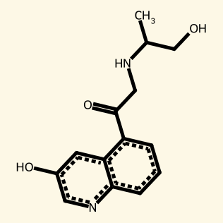 CC(CO)NCC(=O)c1cccc2ncc(O)cc12